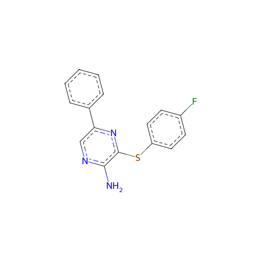 Nc1ncc(-c2ccccc2)nc1Sc1ccc(F)cc1